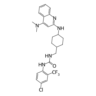 CN(C)c1cc(NC2CCC(CNC(=O)Nc3ccc(Cl)cc3C(F)(F)F)CC2)nc2ccccc12